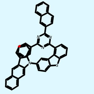 c1ccc(-c2nc(-c3ccc4ccccc4c3)nc(-c3cccc4sc5ccc(-n6c7ccccc7c7cc8ccccc8cc76)cc5c34)n2)cc1